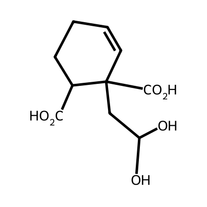 O=C(O)C1CCC=CC1(CC(O)O)C(=O)O